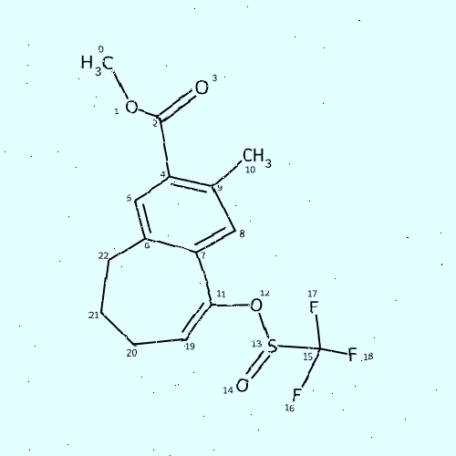 COC(=O)c1cc2c(cc1C)C(OS(=O)C(F)(F)F)=CCCC2